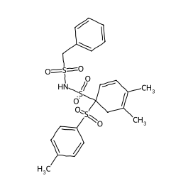 CC1=C(C)CC(S(=O)(=O)NS(=O)(=O)Cc2ccccc2)(S(=O)(=O)c2ccc(C)cc2)C=C1